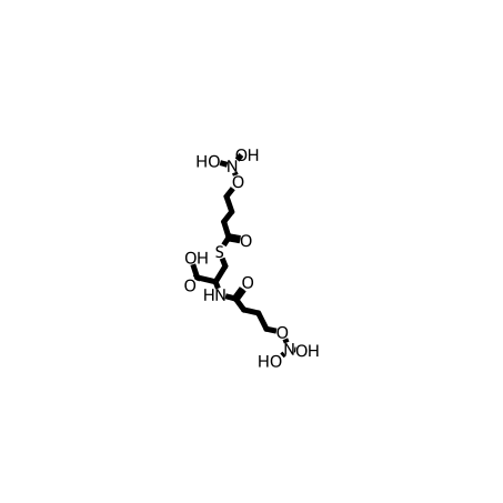 O=C(CCCON(O)O)NC(CSC(=O)CCCON(O)O)C(=O)O